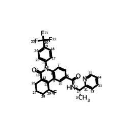 C[C@H](NC(=O)c1ccc2c(c1)c1c(c(=O)n2-c2ccc(C(F)(F)F)cc2)CCCC1F)c1ccccn1